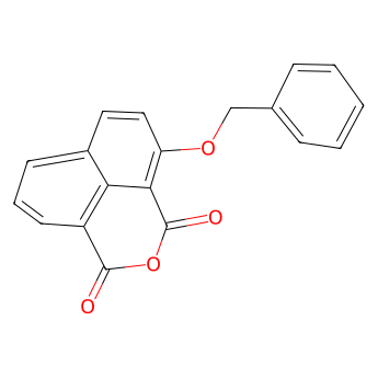 O=C1OC(=O)c2c(OCc3ccccc3)ccc3cccc1c23